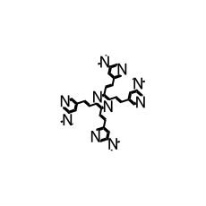 CN(C)c1cncc(C=Cc2nc(C=Cc3cncc(N(C)C)c3)c(C=Cc3cncc(N(C)C)c3)nc2C=Cc2cncc(N(C)C)c2)c1